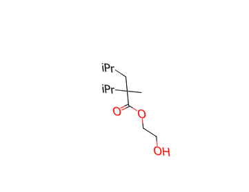 CC(C)CC(C)(C(=O)OCCO)C(C)C